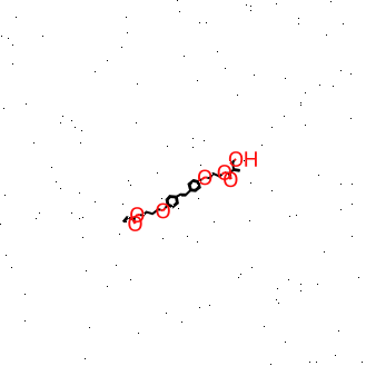 C=CC(=O)OCCCCOc1ccc(/C=C/c2ccc(OCCCOC(=O)C(=C)CO)cc2)cc1